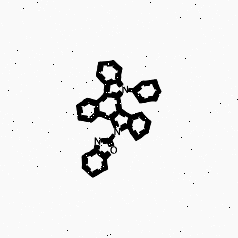 c1ccc(-n2c3ccccc3c3c4ccccc4c4c(c5ccccc5n4-c4nc5ccccc5o4)c32)cc1